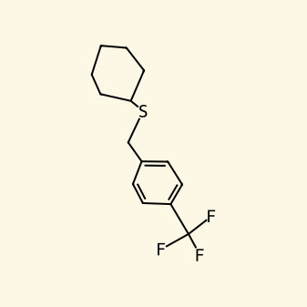 FC(F)(F)c1ccc(CSC2CCCCC2)cc1